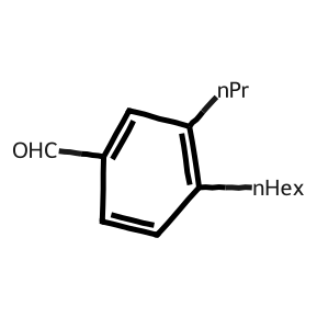 CCCCCCc1ccc(C=O)cc1CCC